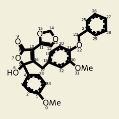 COc1ccc(C2(O)OC(=O)C(C3=COCO3)=C2Cc2ccc(OCc3ccccc3)c(OC)c2)cc1